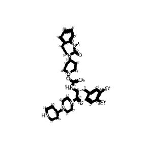 CCc1ccc(C[C@@H](NC(=O)ON2CCC(N3CCc4ccccc4NC3=O)CC2)C(=O)N2CCN(C3CCNCC3)CC2)cc1CC